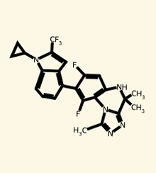 Cc1nnc2n1-c1c(cc(F)c(-c3cccc4c3cc(C(F)(F)F)n4C3CC3)c1F)NC2(C)C